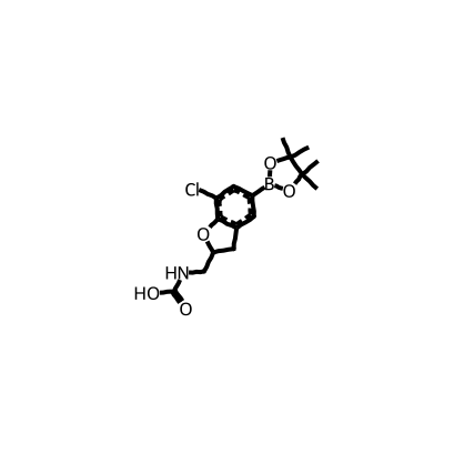 CC1(C)OB(c2cc(Cl)c3c(c2)CC(CNC(=O)O)O3)OC1(C)C